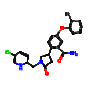 CCc1ccccc1Oc1ccc(C2CC(=O)N(CC3C=CC(Cl)=CN3)C2)c(C(N)=O)c1